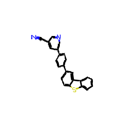 N#Cc1cncc(-c2ccc(-c3ccc4sc5ccccc5c4c3)cc2)c1